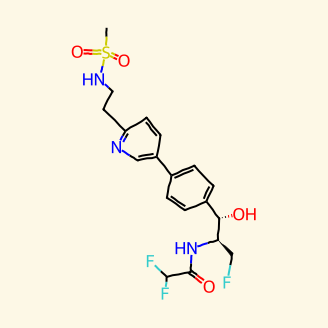 CS(=O)(=O)NCCc1ccc(-c2ccc([C@H](O)[C@@H](CF)NC(=O)C(F)F)cc2)cn1